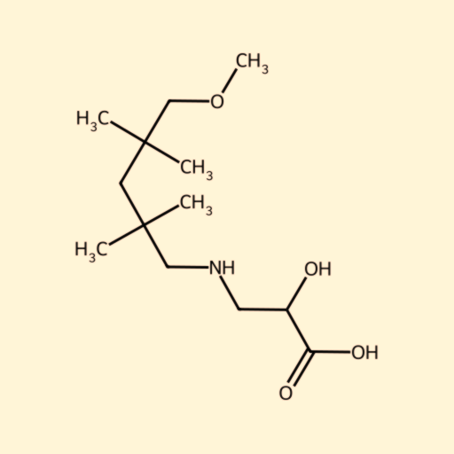 COCC(C)(C)CC(C)(C)CNCC(O)C(=O)O